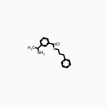 CC(N)c1cccc(CSCCCc2ccccc2)c1.Cl